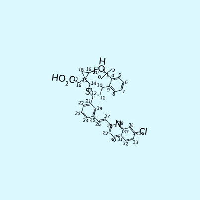 CC(C)(O)c1ccccc1CC[C@@H](SCC1(CC(=O)O)C[C@H]1F)c1cccc(/C=C/c2ccc3ccc(Cl)cc3n2)c1